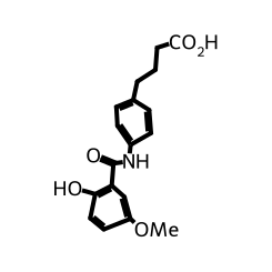 COc1ccc(O)c(C(=O)Nc2ccc(CCCC(=O)O)cc2)c1